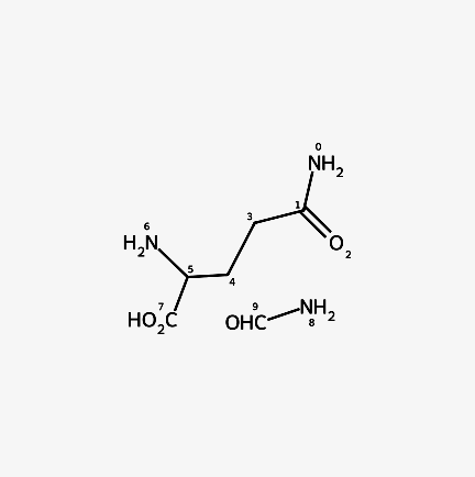 NC(=O)CCC(N)C(=O)O.NC=O